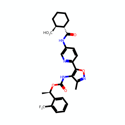 Cc1noc(-c2ccc(NC(=O)[C@H]3CCCC[C@@H]3C(=O)O)cn2)c1NC(=O)O[C@H](C)c1ccccc1C(F)(F)F